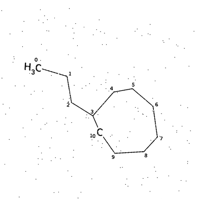 CC[CH]C1CCCCCCC1